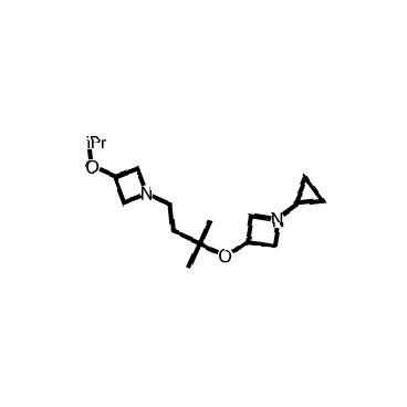 CC(C)OC1CN(CCC(C)(C)OC2CN(C3CC3)C2)C1